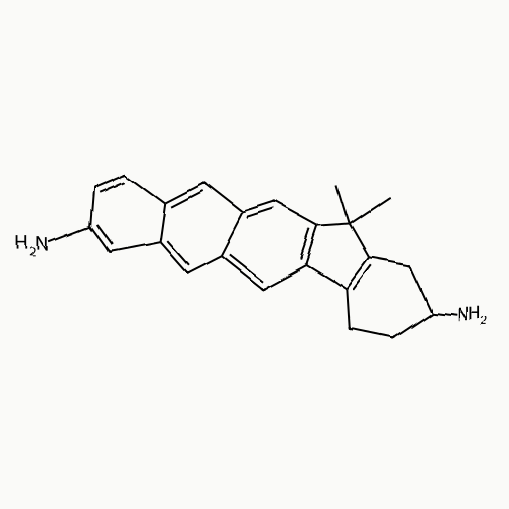 CC1(C)C2=C(CCC(N)C2)c2cc3cc4cc(N)ccc4cc3cc21